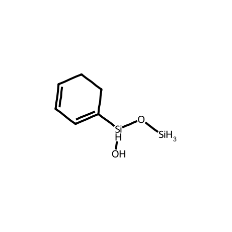 O[SiH](O[SiH3])C1=CC=CCC1